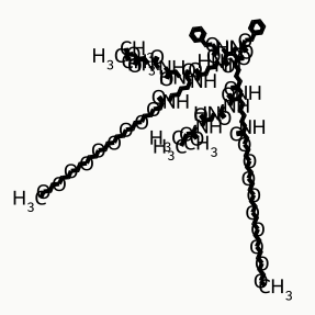 COCCOCCOCCOCCOCCOCCOCCOCCOCC(=O)NCCCCC(NC(=O)CCCNC(=O)C(NC(=O)OCc1ccccc1)C(NC(=O)OCc1ccccc1)C(=O)NCCCC(=O)NC(CCCCNC(=O)COCCOCCOCCOCCOCCOCCOCCOCCOC)C(=O)NCC(=O)NCC(=O)NCC(=O)OC(C)(C)C)C(=O)NCC(=O)NCC(=O)NCC(=O)OC(C)(C)C